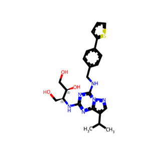 CC(C)c1cnn2c(NCc3ccc(-c4cccs4)cc3)nc(N[C@@H](CO)[C@H](O)CO)nc12